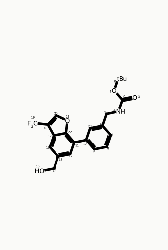 CC(C)(C)OC(=O)NCc1cccc(-c2cc(CO)cc3c(C(F)(F)F)coc23)c1